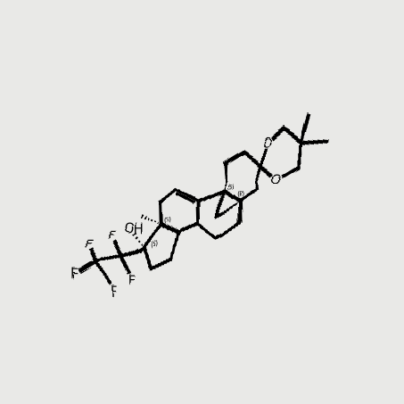 CC1(C)COC2(CC[C@]34C[C@]3(CCC3C4=CC[C@@]4(C)C3CC[C@@]4(O)C(F)(F)C(F)(F)F)C2)OC1